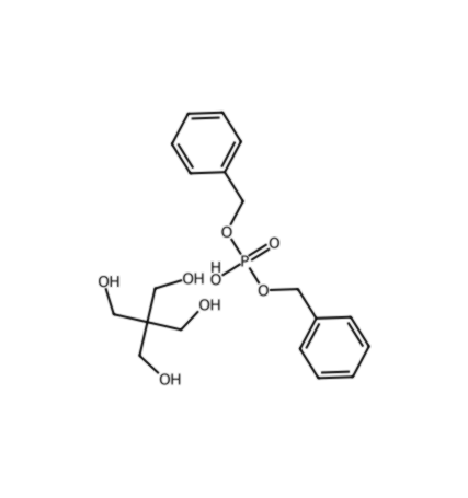 O=P(O)(OCc1ccccc1)OCc1ccccc1.OCC(CO)(CO)CO